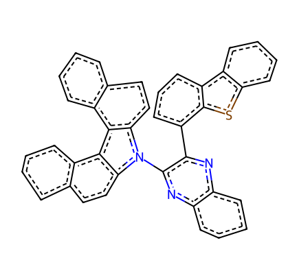 c1ccc2c(c1)ccc1c2c2c3ccccc3ccc2n1-c1nc2ccccc2nc1-c1cccc2c1sc1ccccc12